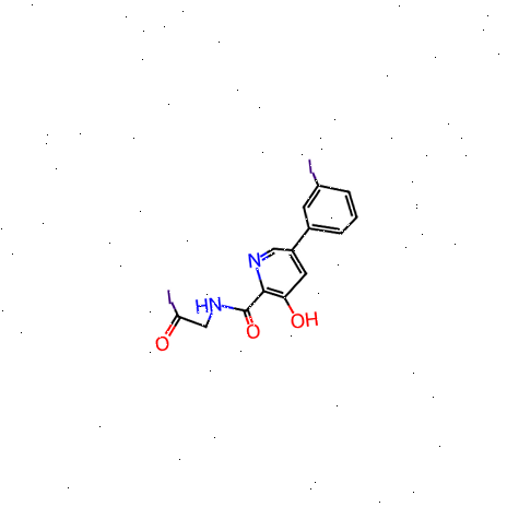 O=C(I)CNC(=O)c1ncc(-c2cccc(I)c2)cc1O